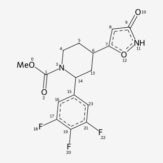 COC(=O)N1CCC(c2cc(=O)[nH]o2)CC1c1cc(F)c(F)c(F)c1